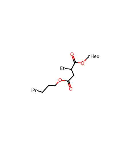 CCCCCCOC(=O)C(CC)CC(=O)OCCCC(C)C